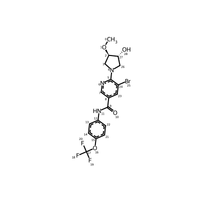 CO[C@@H]1CN(c2ncc(C(=O)Nc3ccc(OC(F)(F)F)cc3)cc2Br)C[C@H]1O